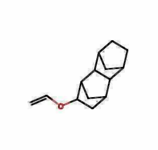 C=COC1CC2CC1C1C3CCC(C3)C21